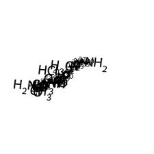 CC(Cc1ccc(-n2ccc(NC(=O)N3CCN(C(=O)C(C)(C)N)CC3)nc2=O)cc1)N1CCC2(CC1)CC2CN.Cl